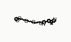 Cn1c2ccncc2c2ccc(-c3ccc(OCC#CCOCCCCOCCCCOC4CCCCO4)nc3)cc21